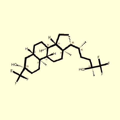 C[C@H](CC[C@](C)(O)C(F)(F)F)[C@H]1CC[C@H]2[C@@H]3CC[C@H]4C[C@](O)(C(F)(F)F)CC[C@]4(C)[C@H]3CC[C@]12C